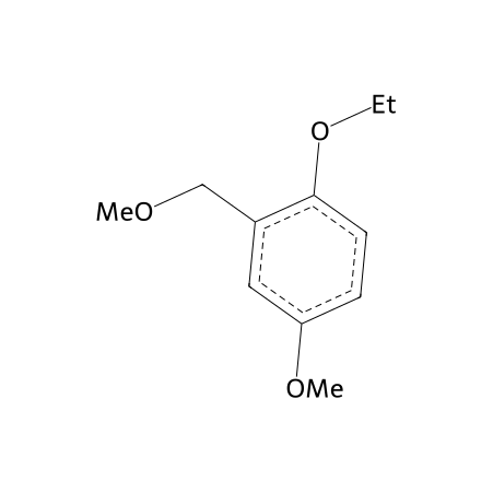 CCOc1ccc(OC)cc1COC